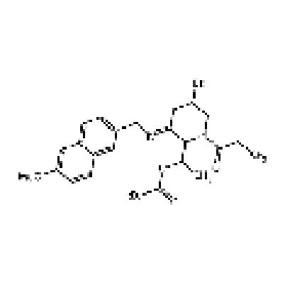 CCC1C/C(=N\Cc2ccc3cc(OC)ccc3c2)C(C(C)OC(=O)C(C)(C)C)N(C(=O)CC(F)(F)F)C1